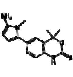 Cn1c(N)ccc1-c1ccc2c(c1)C(C)(C)OC(=S)N2